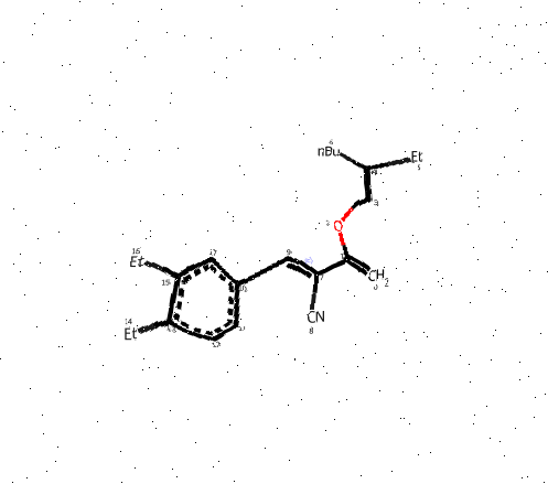 C=C(OCC(CC)CCCC)/C(C#N)=C/c1ccc(CC)c(CC)c1